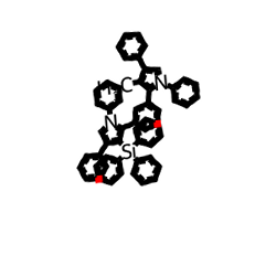 Cc1c(-c2ccccc2)cn(-c2ccccc2)c1-c1cccc(-c2c([Si](c3ccccc3)(c3ccccc3)c3ccccc3)c(-c3ccccc3)cn2-c2ccccc2)c1